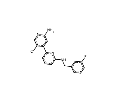 Nc1cc(-c2cccc(NCc3cccc(F)c3)n2)c(Cl)cn1